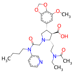 CCCCN(C(=O)CN1C[C@H](c2cc(OC)c3c(c2)OCO3)[C@@H](C(=O)O)[C@@H]1CCN(CC)C(C)=O)c1cccnc1